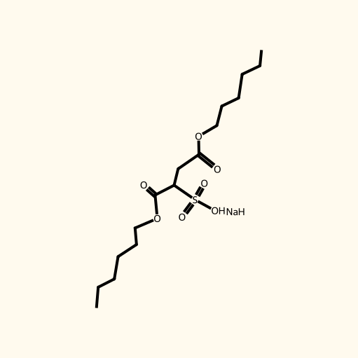 CCCCCCOC(=O)CC(C(=O)OCCCCCC)S(=O)(=O)O.[NaH]